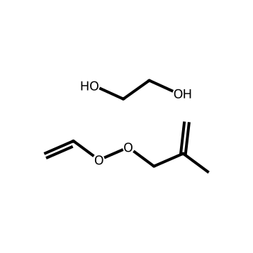 C=COOCC(=C)C.OCCO